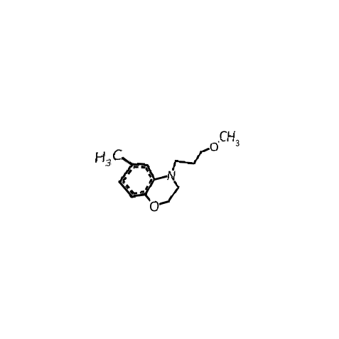 COCCCN1CCOc2ccc(C)cc21